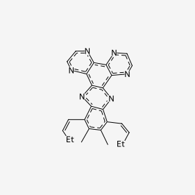 CC/C=C\c1c(C)c(C)c(/C=C\CC)c2nc3c4nccnc4c4nccnc4c3nc12